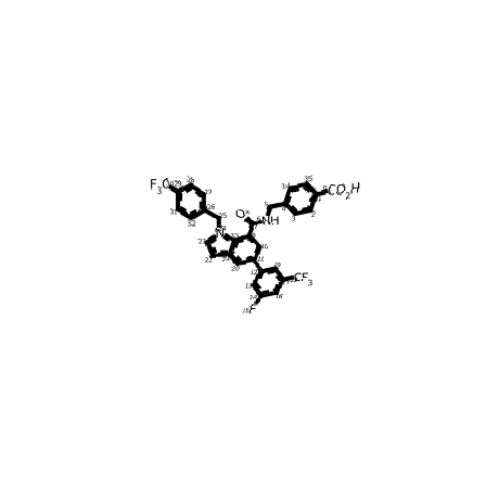 O=C(O)c1ccc(CNC(=O)c2cc(-c3cc(F)cc(C(F)(F)F)c3)cc3ccn(Cc4ccc(C(F)(F)F)cc4)c23)cc1